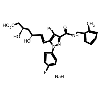 Cc1ccccc1CNC(=O)c1nn(-c2ccc(F)cc2)c(C=C[C@H](O)C[C@@H](O)CC(=O)O)c1C(C)C.[NaH]